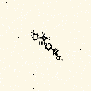 O=C1CN(c2c(Nc3ccc(-c4noc(C(F)(F)F)n4)cc3)c(=O)c2=O)CCN1